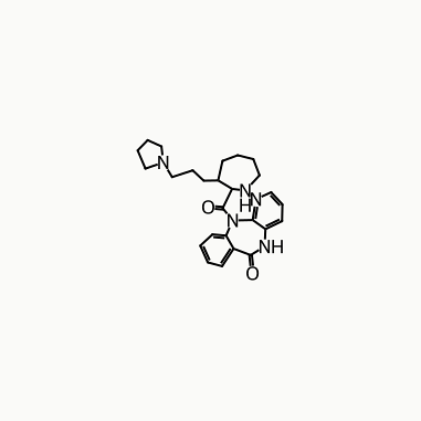 O=C1Nc2cccnc2N(C(=O)C2NCCCCC2CCCN2CCCC2)c2ccccc21